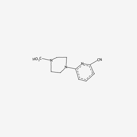 N#Cc1cccc(N2CCN(C(=O)O)CC2)n1